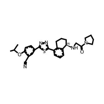 CC(C)Oc1ccc(-c2nnc(-c3cccc4c3CCC[C@H]4NCC(=O)N3CCCC3)s2)cc1C#N